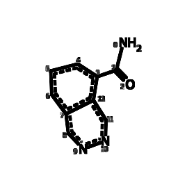 NC(=O)c1cccc2cnncc12